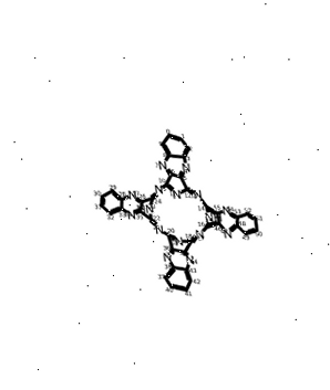 c1ccc2nc3c(nc2c1)-c1nc-3nc2[nH]c(nc3nc(nc4[nH]c(n1)c1nc5ccccc5nc41)-c1nc4ccccc4nc1-3)c1nc3ccccc3nc21